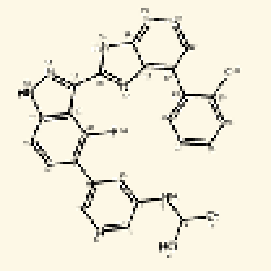 CCC(O)Nc1cncc(-c2ccc3[nH]nc(-c4nc5c(-c6ccccc6F)ccnc5[nH]4)c3c2F)c1